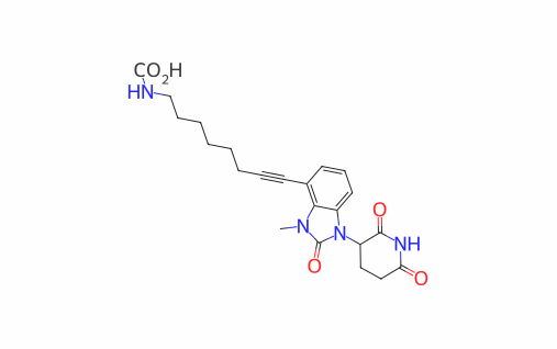 Cn1c(=O)n(C2CCC(=O)NC2=O)c2cccc(C#CCCCCCCNC(=O)O)c21